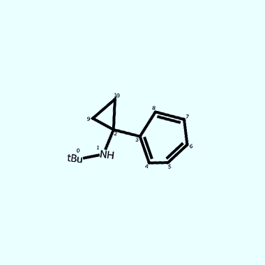 CC(C)(C)NC1(c2ccccc2)CC1